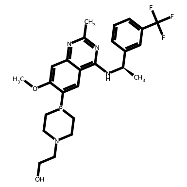 COc1cc2nc(C)nc(N[C@H](C)c3cccc(C(F)(F)F)c3)c2cc1P1CCN(CCO)CC1